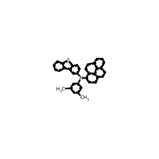 Cc1cc(C)cc(N(c2ccc3sc4ccccc4c3c2)c2ccc3ccc4cccc5ccc2c3c45)c1